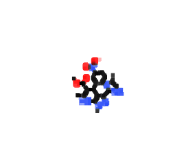 COC(=O)C1=C(C)Nc2c(c(-c3nc(C)c[nH]3)nn2C)C1c1cccc([N+](=O)[O-])c1